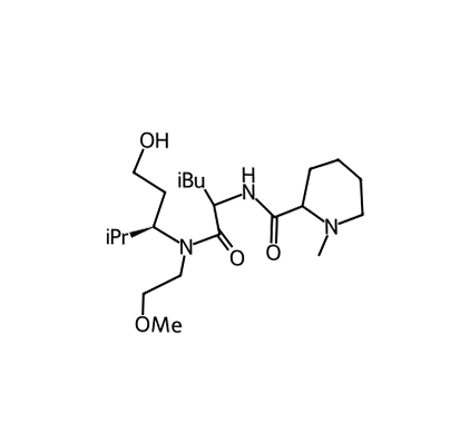 CCC(C)C(NC(=O)C1CCCCN1C)C(=O)N(CCOC)[C@H](CCO)C(C)C